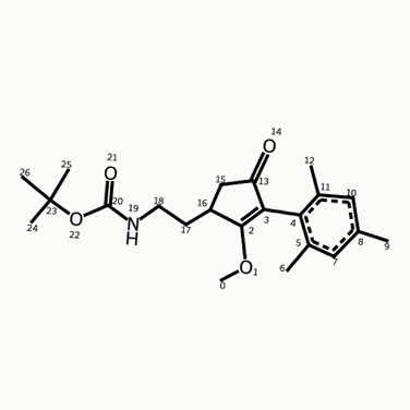 COC1=C(c2c(C)cc(C)cc2C)C(=O)CC1CCNC(=O)OC(C)(C)C